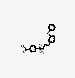 CC(=O)c1ccc(C(C)(C)CCCc2cccc(Oc3ccccc3)c2)cc1